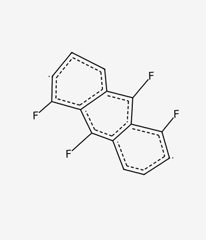 Fc1[c]ccc2c(F)c3c(F)[c]ccc3c(F)c12